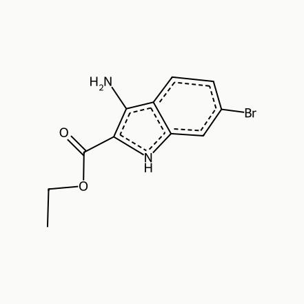 CCOC(=O)c1[nH]c2cc(Br)ccc2c1N